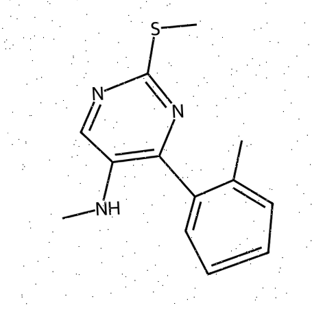 CNc1cnc(SC)nc1-c1ccccc1C